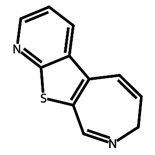 C1=Cc2c(sc3ncccc23)C=NC1